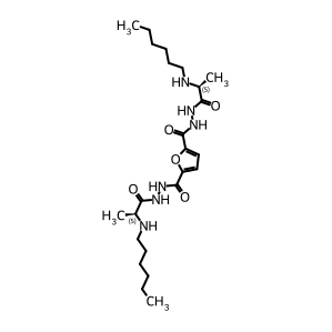 CCCCCCN[C@@H](C)C(=O)NNC(=O)c1ccc(C(=O)NNC(=O)[C@H](C)NCCCCCC)o1